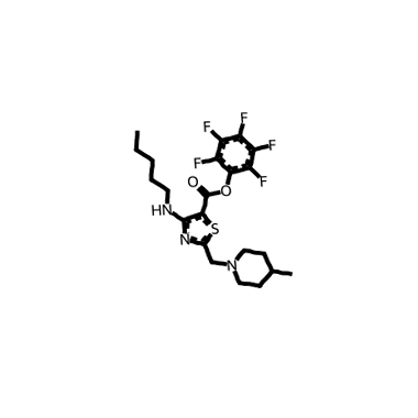 CCCCCNc1nc(CN2CCC(C)CC2)sc1C(=O)Oc1c(F)c(F)c(F)c(F)c1F